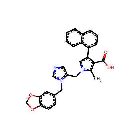 Cc1c(C(=O)O)c(-c2cccc3ccccc23)cn1Cc1cncn1Cc1ccc2c(c1)OCO2